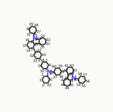 c1ccc(N(c2ccc(-c3ccc(-c4cccc5c4c4ccccc4n5-c4ccccc4)cc3)cc2)c2ccc(-c3cccc4c3c3ccccc3n4-c3ccccc3)cc2)cc1